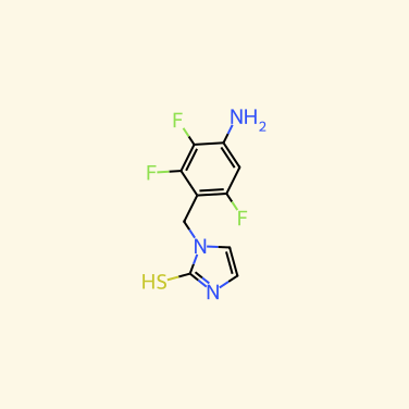 Nc1cc(F)c(Cn2ccnc2S)c(F)c1F